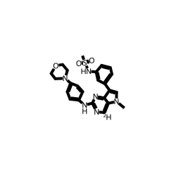 [2H]c1nc(Nc2ccc(N3CCOCC3)cc2)nc2c(-c3cccc(NS(C)(=O)=O)c3)cn(C)c12